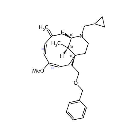 C=C1/C=C\C(OC)=C/C[C@@]2(CCOCc3ccccc3)CCN(CC3CC3)[C@@H](C1)[C@H]2C